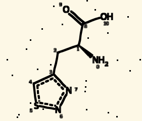 N[C@@H](Cc1csnn1)C(=O)O